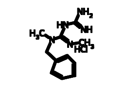 CN=C(NC(=N)N)N(C)Cc1ccccc1.Cl